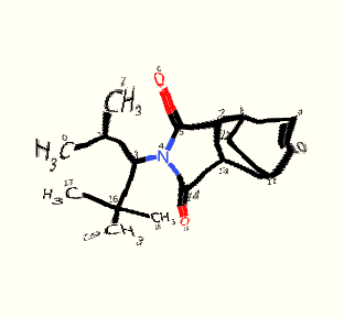 CC(C)C(N1C(=O)C2C3C=CC(C3)C2C1=O)C(C)(C)C